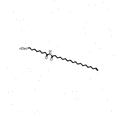 C=CCCCCCCCCCCCCCCCCC(=O)NC(=O)CCCCCCCCCCCCCCCCC